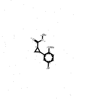 COc1ccc(Br)cc1C1CC1C(=O)OC(C)(C)C